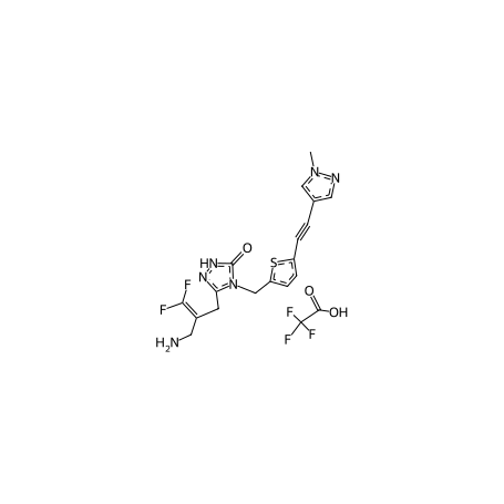 Cn1cc(C#Cc2ccc(Cn3c(CC(CN)=C(F)F)n[nH]c3=O)s2)cn1.O=C(O)C(F)(F)F